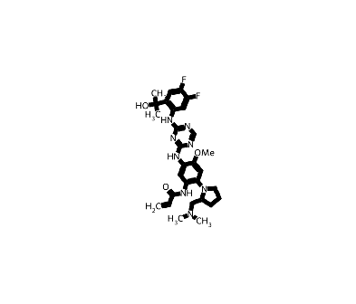 C=CC(=O)Nc1cc(Nc2ncnc(Nc3cc(F)c(F)cc3C(C)(C)O)n2)c(OC)cc1N1CCCC1CN(C)C